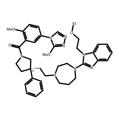 CCOCCn1c(N2CCCN(CC[C@]3(c4ccccc4)CCN(C(=O)c4cc(-n5cnnc5SC)ccc4OC)C3)CC2)nc2ccccc21